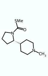 CSC(=O)N1CCC[C@H]1C1CCN(C)CC1